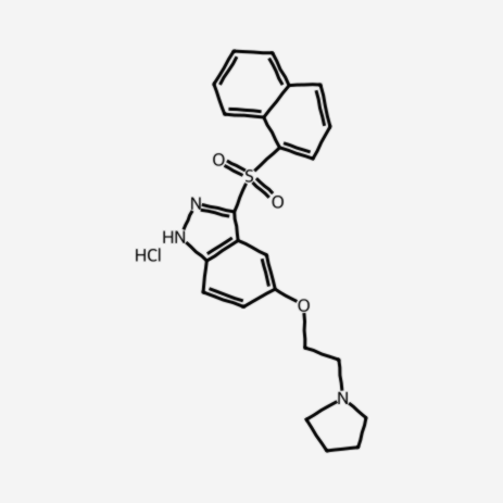 Cl.O=S(=O)(c1cccc2ccccc12)c1n[nH]c2ccc(OCCN3CCCC3)cc12